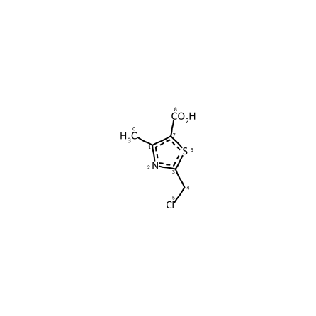 Cc1nc(CCl)sc1C(=O)O